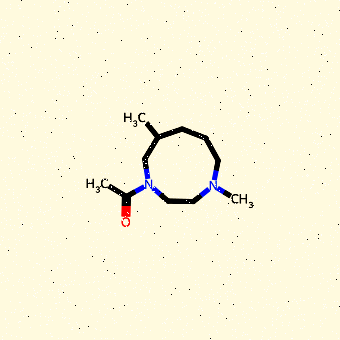 CC(=O)N1CCN(C)CCCC(C)C1